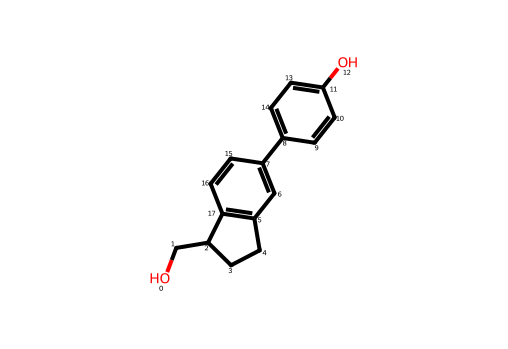 OCC1CCc2cc(-c3ccc(O)cc3)ccc21